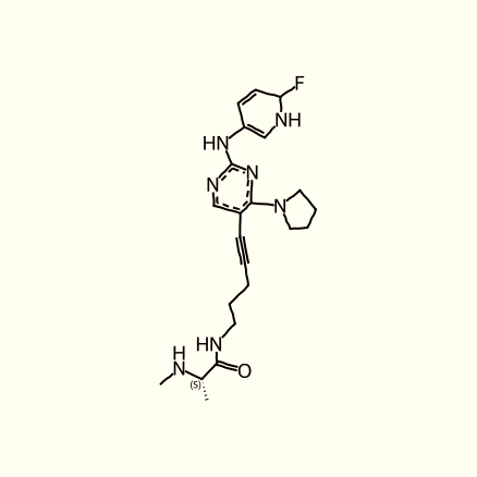 CN[C@@H](C)C(=O)NCCCC#Cc1cnc(NC2=CNC(F)C=C2)nc1N1CCCC1